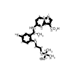 C[C@@H](Nc1ccn2ncc(C(=O)O)c2n1)c1cc(F)ccc1OCCO[Si](C)(C)C(C)(C)C